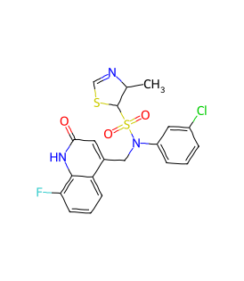 CC1N=CSC1S(=O)(=O)N(Cc1cc(=O)[nH]c2c(F)cccc12)c1cccc(Cl)c1